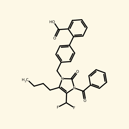 CCCCc1c(C(F)F)n(C(=O)c2ccccc2)c(=O)n1Cc1ccc(-c2ccccc2C(=O)O)cc1